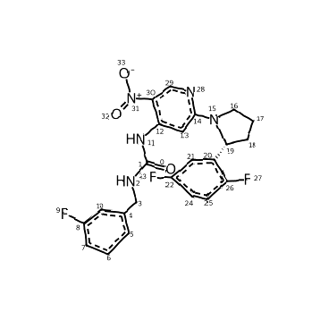 O=C(NCc1cccc(F)c1)Nc1cc(N2CCC[C@@H]2c2cc(F)ccc2F)ncc1[N+](=O)[O-]